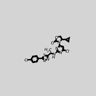 C[C@H](Nc1nc(Cl)cc(N2C(=O)OCC2C2CC2)n1)c1nnc(-c2ccc(Cl)cc2)s1